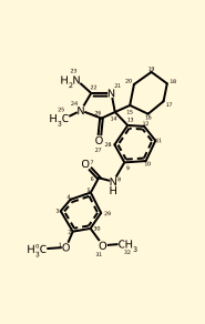 COc1ccc(C(=O)Nc2cccc(C3(C4CCCCC4)N=C(N)N(C)C3=O)c2)cc1OC